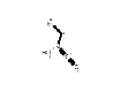 CCCN=C=O.Cl